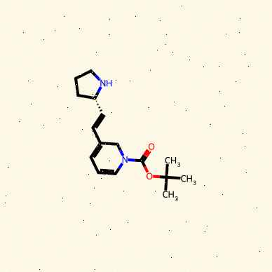 CC(C)(C)OC(=O)N1C=CC=C(C=C[C@@H]2CCCN2)C1